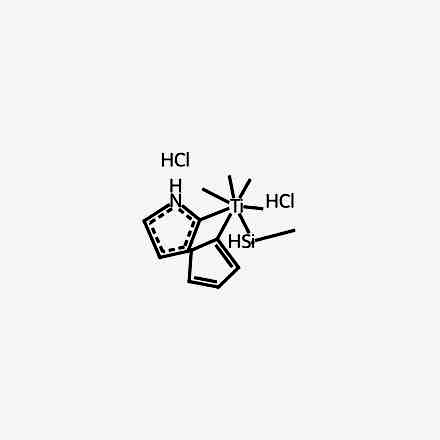 C[SiH](C)[Ti]([CH3])([CH3])([CH3])([CH3])([C]1=CC=CC1)[c]1ccc[nH]1.Cl.Cl